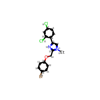 CCn1cc(-c2ccc(Cl)cc2Cl)nc1COc1ccc(Br)cc1